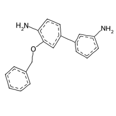 Nc1cccc(-c2ccc(N)c(OCc3ccccc3)c2)c1